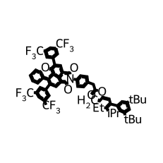 C=C/C(=C\C(=C(/CC)C(C)C)c1cc(C(C)(C)C)cc(C(C)(C)C)c1)OC(=O)Cc1ccc(-n2c(=O)c3cc(-c4cc(C(F)(F)F)cc(C(F)(F)F)c4)c4oc5ccccc5c5c(-c6cc(C(F)(F)F)cc(C(F)(F)F)c6)cc(c2=O)c3c45)cc1